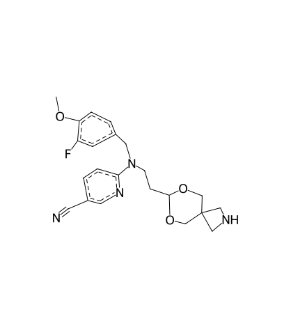 COc1ccc(CN(CCC2OCC3(CNC3)CO2)c2ccc(C#N)cn2)cc1F